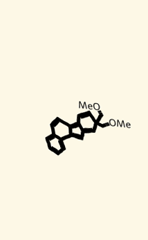 COCC1(COC)C=CC2=c3ccc4ccccc4c3=CC2=C1